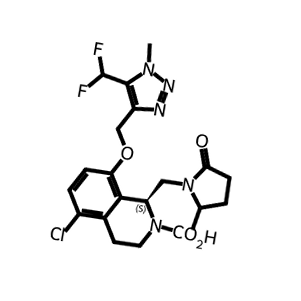 CC1CCC(=O)N1C[C@@H]1c2c(OCc3nnn(C)c3C(F)F)ccc(Cl)c2CCN1C(=O)O